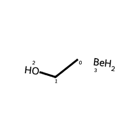 CCO.[BeH2]